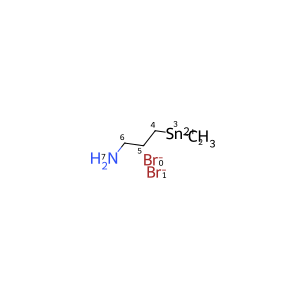 [Br-].[Br-].[CH3][Sn+2][CH2]CCN